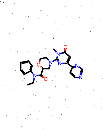 CCN(C(=O)C1CN(c2nc(-c3ccncn3)cc(=O)n2C)CCO1)c1ccccc1